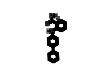 NC(=O)c1ccccc1Nc1ccc(-c2ccccc2)cc1